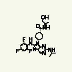 CC(C)Nc1ncc2nc(Nc3c(F)cc(F)cc3F)n([C@H]3CC[C@@H](C(=O)N[C@H](C)CO)CC3)c2n1